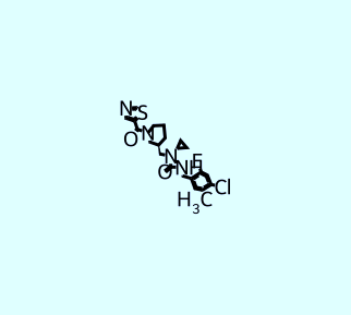 Cc1cc(CNC(=O)N(C[C@@H]2CCCN(C(=O)c3cncs3)C2)C2CC2)c(F)cc1Cl